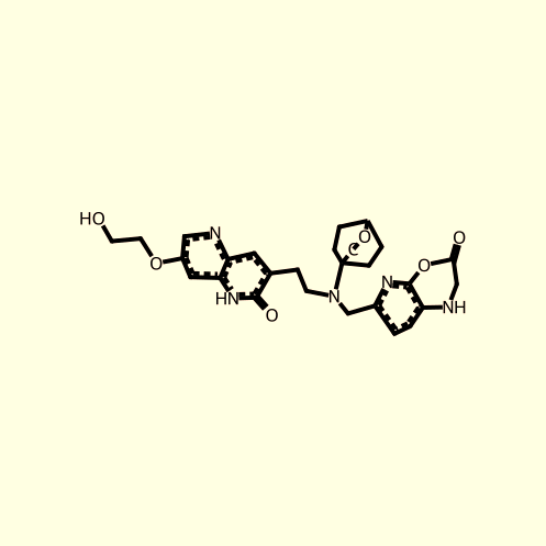 O=C1CNc2ccc(CN(CCc3cc4ncc(OCCO)cc4[nH]c3=O)C34CCC(CC3)OC4)nc2O1